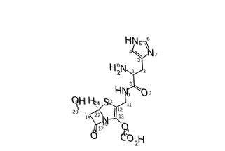 NC(Cc1c[nH]cn1)C(=O)NCC1=C(OC(=O)O)N2C(=O)[C@H](CO)[C@H]2S1